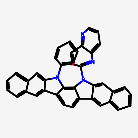 c1ccc(-n2c3cc4ccccc4cc3c3ccc4c5cc6ccccc6cc5n(-c5ccc6ncccc6n5)c4c32)cc1